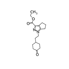 CCOC(=O)c1nn(CCC2CCC(=O)CC2)c2c1CCC2